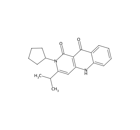 CC(C)c1cc2[nH]c3ccccc3c(=O)c2c(=O)n1C1CCCC1